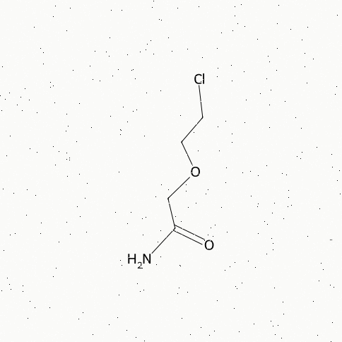 NC(=O)COCCCl